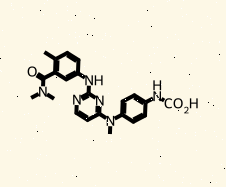 Cc1ccc(Nc2nccc(N(C)c3ccc(NC(=O)O)cc3)n2)cc1C(=O)N(C)C